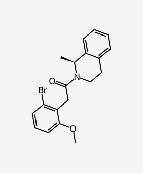 COc1cccc(Br)c1CC(=O)N1CCc2ccccc2[C@@H]1C